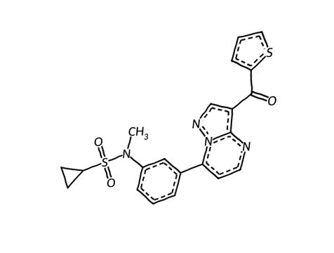 CN(c1cccc(-c2ccnc3c(C(=O)c4cccs4)cnn23)c1)S(=O)(=O)C1CC1